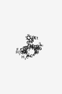 CCOc1nnc(O[C@@H]2C[C@H]3C(=O)N[C@]4(C(=O)NS(=O)(=O)C5CC5)C[C@H]4C=CCC[C@@H](C)C[C@@H](CC)[C@H](N(C(=O)O)C(C)(C)C(F)(F)F)C(=O)N3C2)c2ccccc12